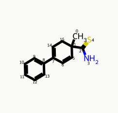 CC1(C(N)=S)C=CC(c2ccccc2)=CC1